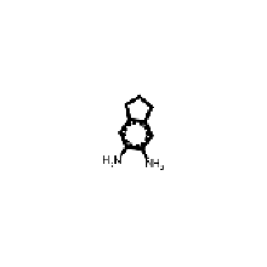 Nc1cc2c(cc1N)CCC2